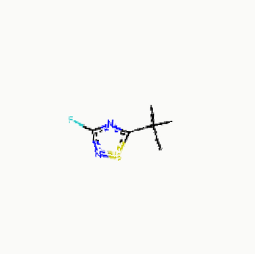 CC(C)(C)c1nc(F)ns1